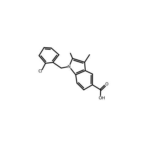 Cc1c(C)n(Cc2ccccc2Cl)c2ccc(C(=O)O)cc12